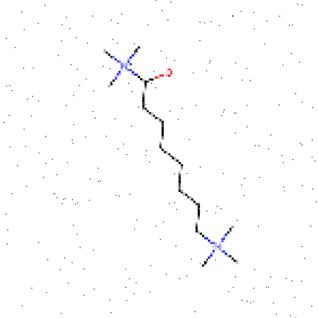 C[N+](C)(C)CCCCCCCC(O)[N+](C)(C)C